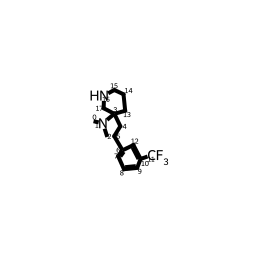 CN(C)C1(CCc2cccc(C(F)(F)F)c2)CCCNC1